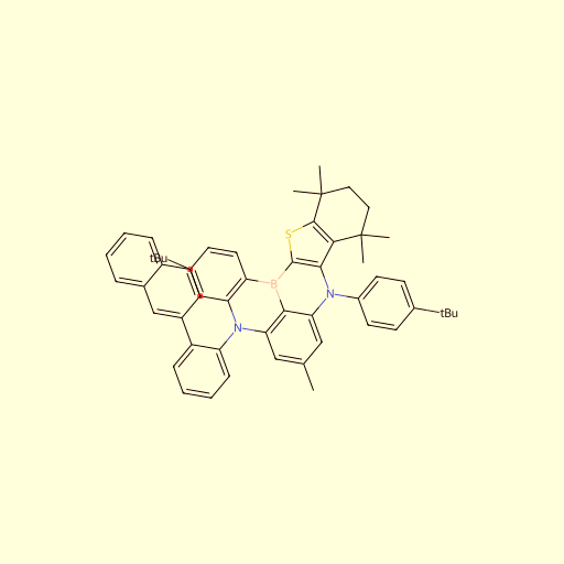 Cc1cc2c3c(c1)N(c1ccc(C(C)(C)C)cc1)c1c(sc4c1C(C)(C)CCC4(C)C)B3c1ccc(C(C)(C)C)cc1N2c1ccccc1-c1ccc2ccccc2c1